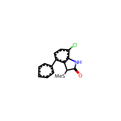 CSC1C(=O)Nc2c(Cl)ccc(-c3ccccc3)c21